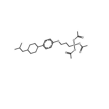 CC(=O)O[Si](CCCOc1ccc(C2CCC(CC(C)C)CC2)cc1)(OC(C)=O)OC(C)=O